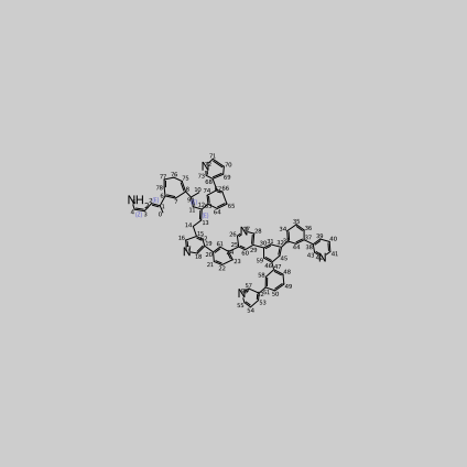 C/C(=C\C=C/N)C1=CC(/C(C)=C/C(=C\Cc2cncc(-c3cccc(-c4cncc(-c5cc(-c6cccc(-c7cccnc7)c6)cc(-c6cccc(-c7cccnc7)c6)c5)c4)c3)c2)c2cccc(-c3cccnc3)c2)=CCC=C1